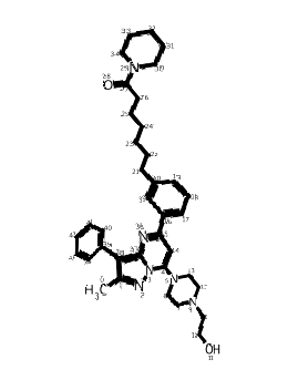 Cc1nn2c(N3CCN(CCO)CC3)cc(-c3cccc(CCCCCCC(=O)N4CCCCC4)c3)nc2c1-c1ccccc1